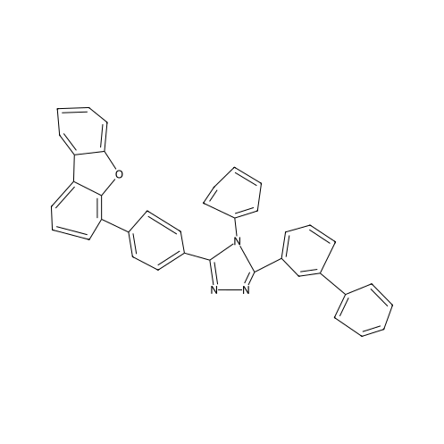 c1ccc(-c2cccc(-c3nnc(-c4ccc(-c5cccc6c5oc5ccccc56)cc4)n3-c3ccccc3)c2)cc1